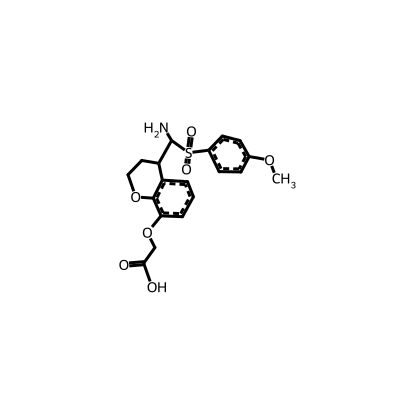 COc1ccc(S(=O)(=O)C(N)C2CCOc3c(OCC(=O)O)cccc32)cc1